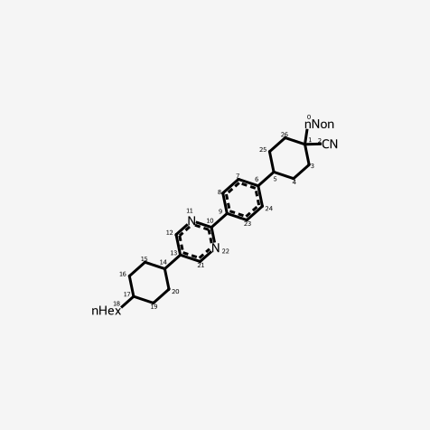 CCCCCCCCCC1(C#N)CCC(c2ccc(-c3ncc(C4CCC(CCCCCC)CC4)cn3)cc2)CC1